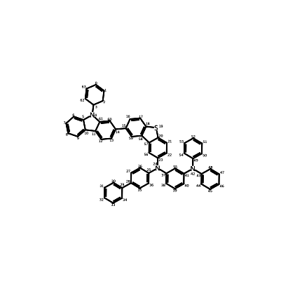 C1=CCC(n2c3ccccc3c3ccc(-c4ccc5sc6ccc(N(c7ccc(-c8ccccc8)cc7)c7cccc(N(c8ccccc8)c8ccccc8)c7)cc6c5c4)cc32)C=C1